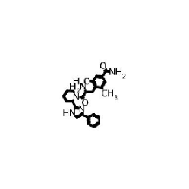 Cc1cc(C(N)=O)cc(C)c1CC(N)C(=O)N1CCCCC1c1nc(-c2ccccc2)c[nH]1